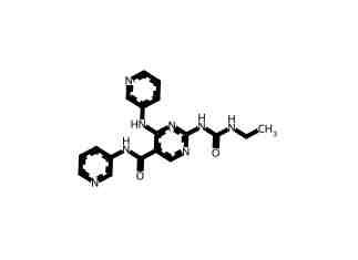 CCNC(=O)Nc1ncc(C(=O)Nc2cccnc2)c(Nc2cccnc2)n1